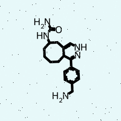 NCc1ccc(C2=NNC=C3CC(NC(N)=O)CCCCC32)cc1